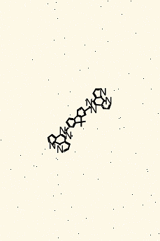 Cn1c(-c2ccc3c(c2)C(C)(C)c2cc(-c4nc5c6cccnc6c6ncccc6c5n4C)ccc2-3)nc2c3cccnc3c3ncccc3c21